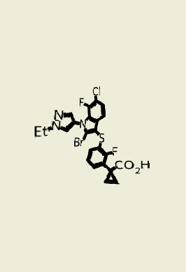 CCn1cc(-n2c(Br)c(Sc3cccc(C4(C(=O)O)CC4)c3F)c3ccc(Cl)c(F)c32)cn1